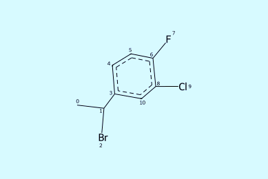 CC(Br)c1ccc(F)c(Cl)c1